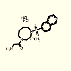 C[C@@H]1CN(C(=O)CN)CCCCN1S(=O)(=O)c1ccc2cnccc2c1.Cl.Cl